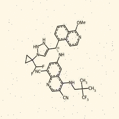 COc1nccc2c([C@H](Nc3cc(C#N)c4ncc(C#N)c(NCC(C)(C)C(F)(F)F)c4c3)C3=CN(C4(C(F)F)CC4)NN3)cccc12